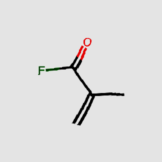 C=C(C)C(=O)F